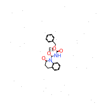 CCOC(NC(=O)OCc1ccccc1)N1C(=O)CCc2ccccc21